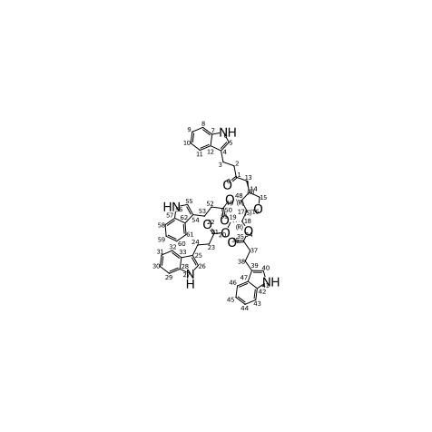 O=C(CCc1c[nH]c2ccccc12)C[C@H]1CO[C@H]([C@@H](COC(=O)CCc2c[nH]c3ccccc23)OC(=O)CCc2c[nH]c3ccccc23)[C@@H]1OC(=O)CCc1c[nH]c2ccccc12